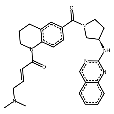 CN(C)C/C=C/C(=O)N1CCCc2cc(C(=O)N3CC[C@@H](Nc4ncc5ccccc5n4)C3)ccc21